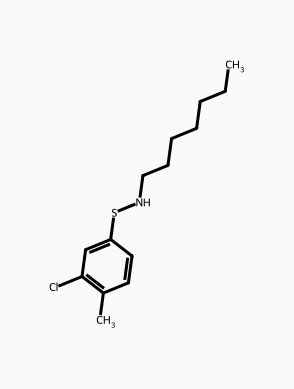 CCCCCCCNSc1ccc(C)c(Cl)c1